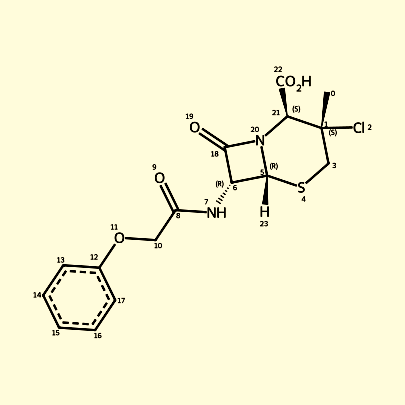 C[C@@]1(Cl)CS[C@@H]2[C@H](NC(=O)COc3ccccc3)C(=O)N2[C@H]1C(=O)O